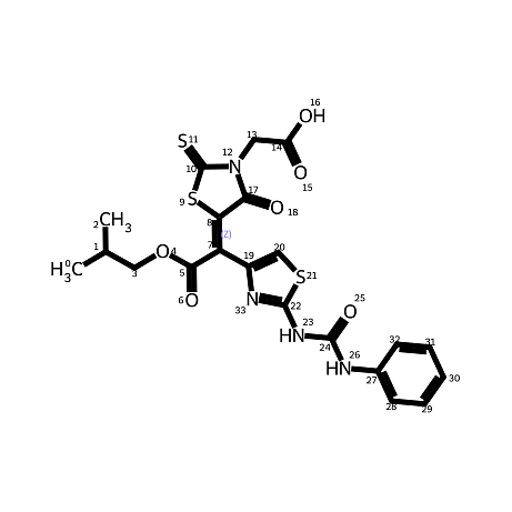 CC(C)COC(=O)/C(=C1\SC(=S)N(CC(=O)O)C1=O)c1csc(NC(=O)Nc2ccccc2)n1